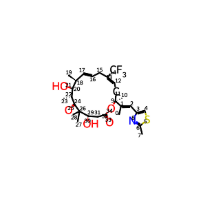 C/C(=C\c1csc(C)n1)[C@]1(C)C/C=C(/C(F)(F)F)C/C=C/[C@H](C)[C@H](O)[C@@H](C)C(=O)C(C)(C)[C@@H](O)CC(=O)O1